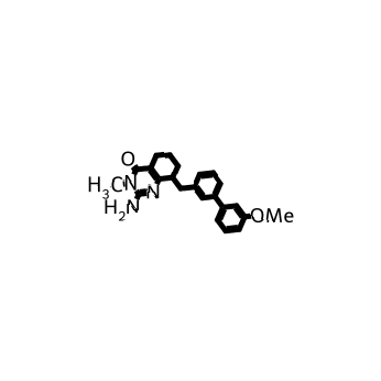 COc1cccc(-c2cccc(CC3CCCc4c3nc(N)n(C)c4=O)c2)c1